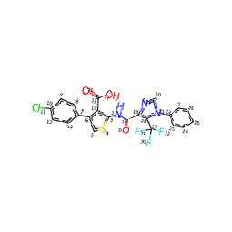 O=C(Nc1scc(-c2ccc(Cl)cc2)c1C(=O)O)c1ncn(-c2ccccc2)c1C(F)(F)F